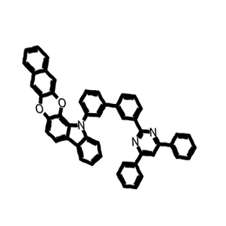 c1ccc(-c2cc(-c3ccccc3)nc(-c3cccc(-c4cccc(-n5c6ccccc6c6ccc7c(c65)Oc5cc6ccccc6cc5O7)c4)c3)n2)cc1